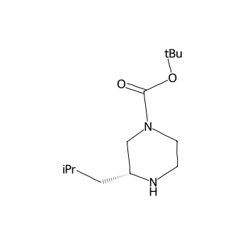 CC(C)C[C@@H]1CN(C(=O)OC(C)(C)C)CCN1